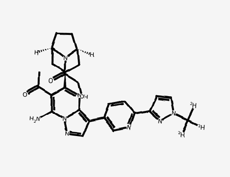 [2H]C([2H])([2H])n1ccc(-c2ccc(-c3cnn4c(N)c(C(C)=O)c([C@H]5C[C@H]6CC[C@@H](C5)N6C(=O)CO)nc34)cn2)n1